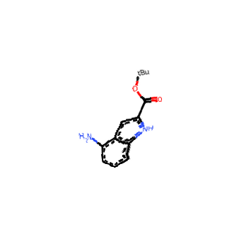 CC(C)(C)OC(=O)c1cc2c(N)cccc2[nH]1